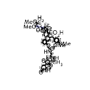 C=C(OC)/C(OC)=C(\C=C(/C)[C@H](CC)C(=O)N1CCCC(C(Cc2ccc(OC)c(OC)c2)Cc2ccccc2OCC(=O)NCCNC(C)C2C(=O)N(C3CCC(=O)NC3=O)C(=O)C2CC)[C@@H]1C(=O)O)OC